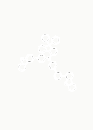 c1ccc(C2(c3ccccc3)c3ccccc3-c3c(N(c4ccc(-c5cccc(-c6cccc7c6sc6ccccc67)c5)cc4)c4ccc(-c5ccc6oc7ccccc7c6c5)cc4)cccc32)cc1